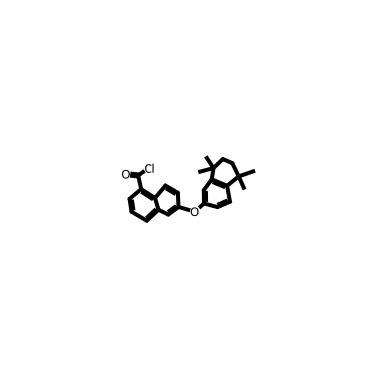 CC1(C)CCC(C)(C)c2cc(Oc3ccc4c(C(=O)Cl)cccc4c3)ccc21